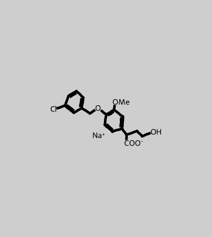 COc1cc(C(CCO)C(=O)[O-])ccc1OCc1cccc(Cl)c1.[Na+]